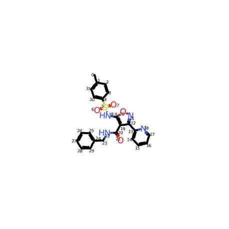 Cc1ccc(S(=O)(=O)Nc2onc(-c3ccccn3)c2C(=O)NCc2ccccc2)cc1